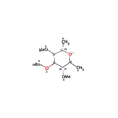 CCCCOC1C(OC)[C@H](C)OC(C)[C@@H]1OC